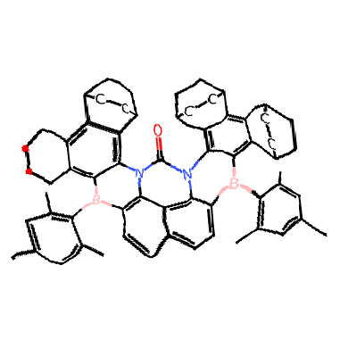 Cc1cc(C)c(B2c3ccc4ccc5c6c4c3N(C(=O)N6c3c(c4c(c6c3C3CCC6CC3)C3CCC4CC3)B5c3c(C)cc(C)cc3C)c3c2c2c(c4c3C3CCC4CC3)C3CCC2CC3)c(C)c1